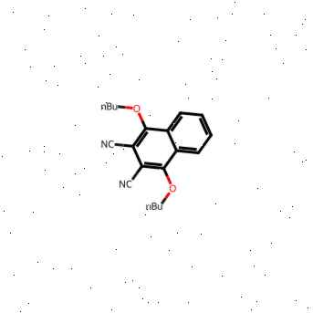 CCCCOc1c(C#N)c(C#N)c(OCCCC)c2ccccc12